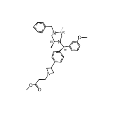 COC(=O)CCN1CC(c2ccc([C@H](c3cccc(OC)c3)N3C[C@@H](C)N(Cc4ccccc4)C[C@@H]3C)cc2)C1